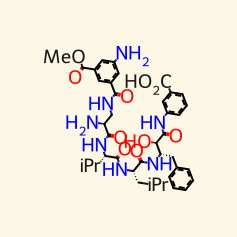 COC(=O)c1cc(N)cc(C(=O)NC[C@H](N)C(=O)N[C@H](C(=O)N[C@@H](CC(C)C)C(=O)N[C@@H](Cc2ccccc2)[C@@H](O)C(=O)Nc2cccc(C(=O)O)c2)C(C)C)c1